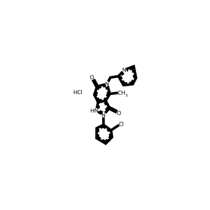 Cc1c2c(=O)n(-c3ccccc3Cl)[nH]c2cc(=O)n1Cc1ccccn1.Cl